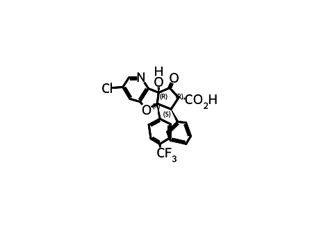 O=C(O)[C@H]1C(=O)[C@@]2(O)c3ncc(Cl)cc3O[C@@]2(c2ccc(C(F)(F)F)cc2)[C@@H]1c1ccccc1